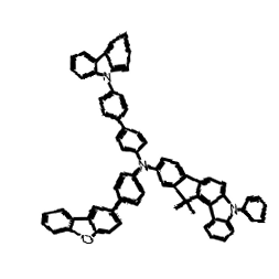 CC1(C)c2cc(N(c3ccc(-c4ccc(-n5c6ccccc6c6ccccc65)cc4)cc3)c3ccc(-c4ccc5oc6ccccc6c5c4)cc3)ccc2-c2ccc3c(c21)c1ccccc1n3-c1ccccc1